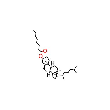 CCCCCCCC(=O)OC1CC[C@@]2(C)C(=CC[C@H]3[C@@H]4CC[C@H]([C@H](C)CCCC(C)C)[C@@]4(C)CC[C@@H]32)C1